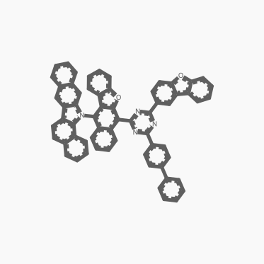 c1ccc(-c2ccc(-c3nc(-c4ccc5oc6ccccc6c5c4)nc(-c4c5ccccc5c(-n5c6cc7ccccc7cc6c6ccc7ccccc7c65)c5c4oc4ccccc45)n3)cc2)cc1